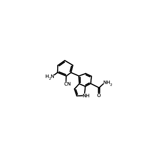 N#Cc1c(N)cccc1-c1ccc(C(N)=O)c2[nH]ccc12